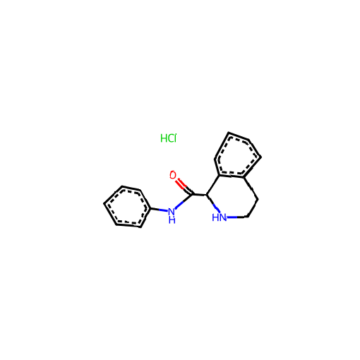 Cl.O=C(Nc1ccccc1)C1NCCc2ccccc21